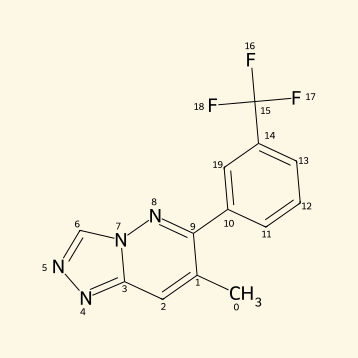 Cc1cc2nncn2nc1-c1cccc(C(F)(F)F)c1